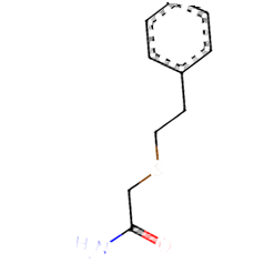 NC(=O)CSCCc1ccccc1